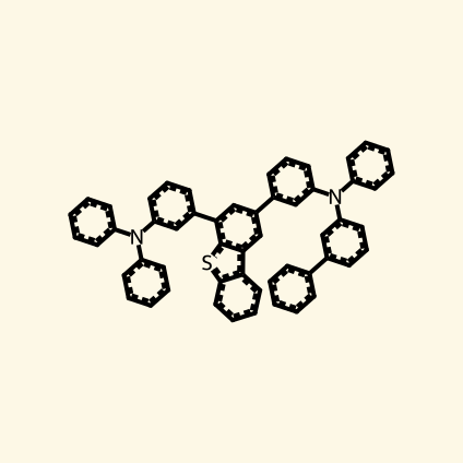 c1ccc(-c2cccc(N(c3ccccc3)c3cccc(-c4cc(-c5cccc(N(c6ccccc6)c6ccccc6)c5)c5sc6ccccc6c5c4)c3)c2)cc1